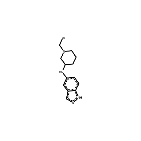 CCC(C)CN1CCCC(Nc2ccc3[nH]ncc3c2)C1